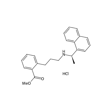 COC(=O)c1ccccc1CCCN[C@H](C)c1cccc2ccccc12.Cl